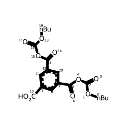 CCCCOC(=O)OC(=O)c1cc(C(=O)O)cc(C(=O)OC(=O)OCCCC)c1